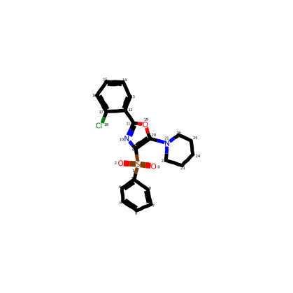 O=S(=O)(c1ccccc1)c1nc(-c2ccccc2Cl)oc1N1CCCCC1